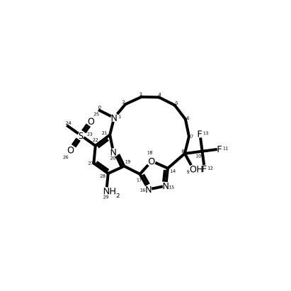 CN1CCCCCCC(O)(C(F)(F)F)c2nnc(o2)-c2nc1c(S(C)(=O)=O)cc2N